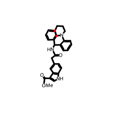 COC(=O)c1c[nH]c2ccc(CC(=O)NC(c3ccccc3)c3ccccc3N3CCCCC3)cc12